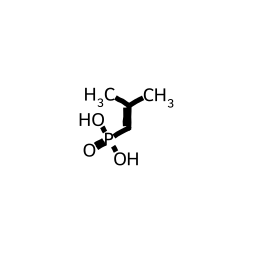 CC(C)=CP(=O)(O)O